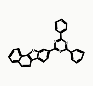 c1ccc(-c2nc(-c3ccccc3)nc(-c3ccc4c(c3)oc3c5ccccc5ccc43)n2)cc1